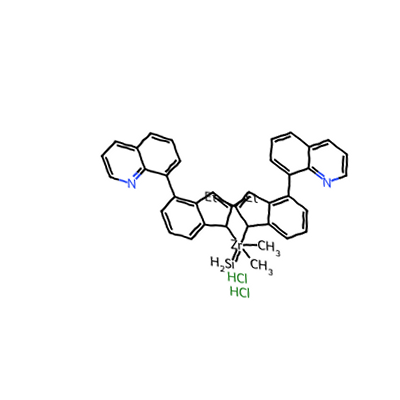 CCC1=Cc2c(-c3cccc4cccnc34)cccc2[CH]1[Zr]([CH3])([CH3])(=[SiH2])[CH]1C(CC)=Cc2c(-c3cccc4cccnc34)cccc21.Cl.Cl